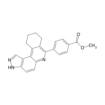 COC(=O)c1ccc(-c2nc3ccc4[nH]ncc4c3c3c2CCCC3)cc1